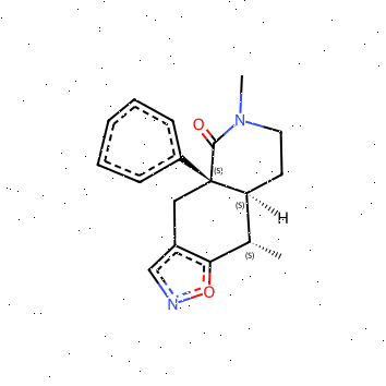 C[C@@H]1c2oncc2C[C@]2(c3ccccc3)C(=O)N(C)CC[C@@H]12